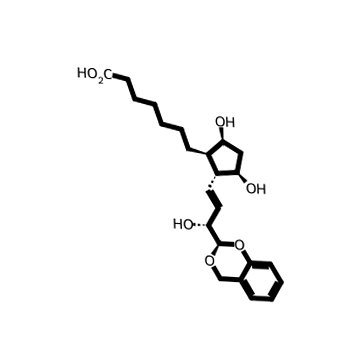 O=C(O)CCCCCC[C@@H]1[C@@H](/C=C/[C@@H](O)[C@@H]2OCc3ccccc3O2)[C@H](O)C[C@@H]1O